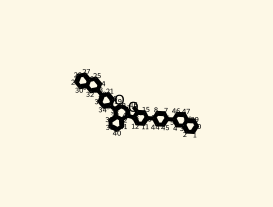 c1ccc2cc(-c3ccc(-c4ccc5c(c4)oc4c6oc7cc(-c8ccc9ccccc9c8)ccc7c6c6ccccc6c54)cc3)ccc2c1